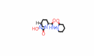 O=C(NN1CCCCC1=O)[C@@H]1CC[C@@H]2CN1C(=O)N2O